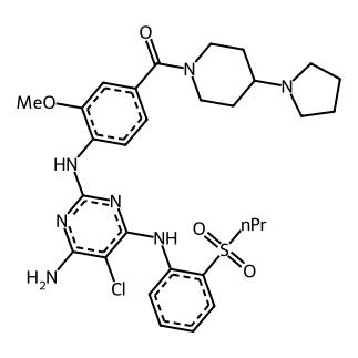 CCCS(=O)(=O)c1ccccc1Nc1nc(Nc2ccc(C(=O)N3CCC(N4CCCC4)CC3)cc2OC)nc(N)c1Cl